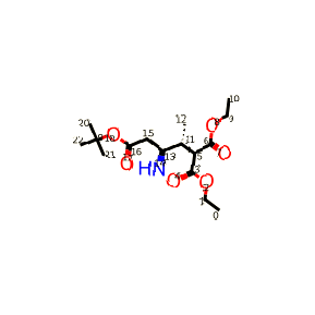 CCOC(=O)C(C(=O)OCC)[C@@H](C)C(=N)CC(=O)OC(C)(C)C